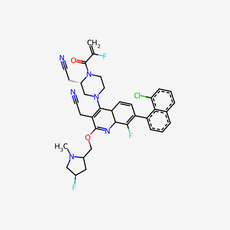 C=C(F)C(=O)N1CCN(C2=C(CC#N)C(OCC3C[C@@H](F)CN3C)=NC3C(F)=C(c4cccc5cccc(Cl)c45)C=CC23)C[C@@H]1CC#N